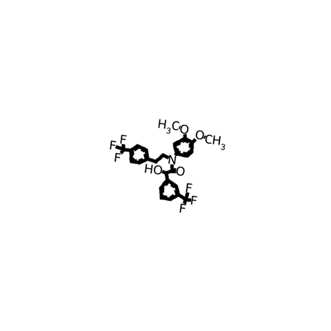 COc1ccc(N(CCc2ccc(C(F)(F)F)cc2)C(=O)C(O)c2cccc(C(F)(F)F)c2)cc1OC